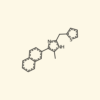 Cc1[nH]c(Cc2cccs2)nc1-c1ccc2ccccc2c1